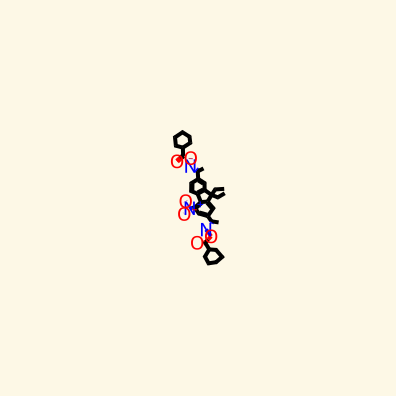 CCC1(CC)c2cc(/C(C)=N/OC(=O)C3CCCCC3)ccc2-c2c([N+](=O)[O-])cc(/C(C)=N/OC(=O)C3CCCCC3)cc21